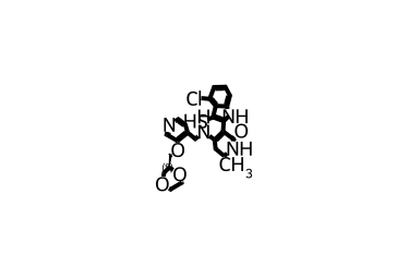 CC1CC(NCc2ccncc2OC[C@@H]2COCCO2)=C(c2[nH]c3cccc(Cl)c3c2S)C(=O)N1